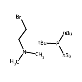 CCCCP(CCCC)CCCC.CN(C)CCBr